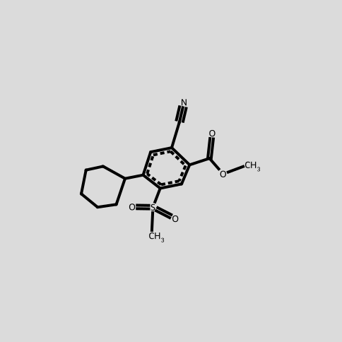 COC(=O)c1cc(S(C)(=O)=O)c(C2CCCCC2)cc1C#N